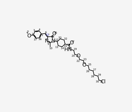 COc1ccc(/C=C2\N=C(C)N(C3CCC(C(=O)NCCOCCOCCCCCCCl)CC3)C2=O)cc1